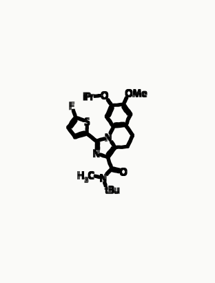 COc1cc2c(cc1OC(C)C)-n1c(-c3ccc(F)s3)nc(C(=O)N(C)C(C)(C)C)c1CC2